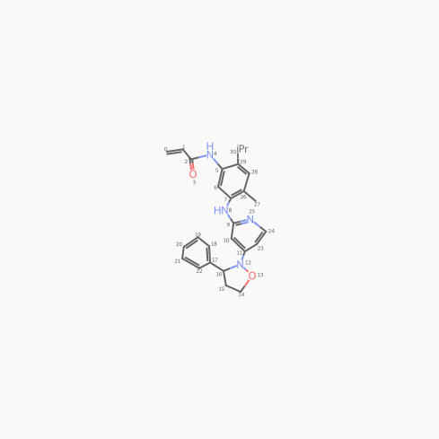 C=CC(=O)Nc1cc(Nc2cc(N3OCCC3c3ccccc3)ccn2)c(C)cc1C(C)C